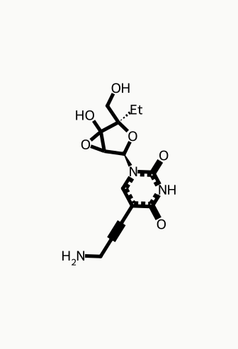 CC[C@]1(CO)O[C@@H](n2cc(C#CCN)c(=O)[nH]c2=O)C2OC21O